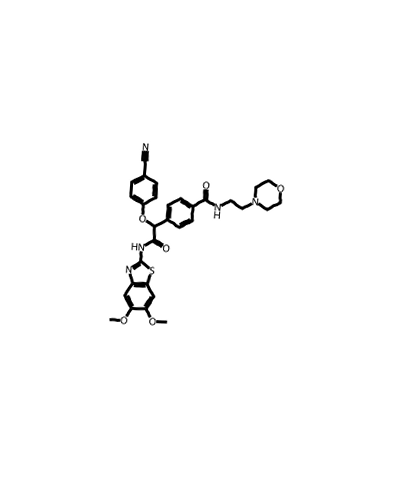 COc1cc2nc(NC(=O)C(Oc3ccc(C#N)cc3)c3ccc(C(=O)NCCN4CCOCC4)cc3)sc2cc1OC